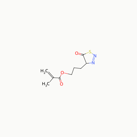 C=C(C)C(=O)OCCCC1N=NSC1=O